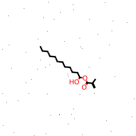 C=C(C)C(=O)OC(O)CCCCCCCCCCC